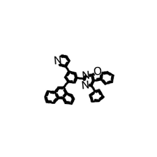 c1ccc(-c2nc(-c3cc(-c4cccnc4)cc(-c4cc5ccccc5c5ccccc45)c3)nc3oc4ccccc4c23)cc1